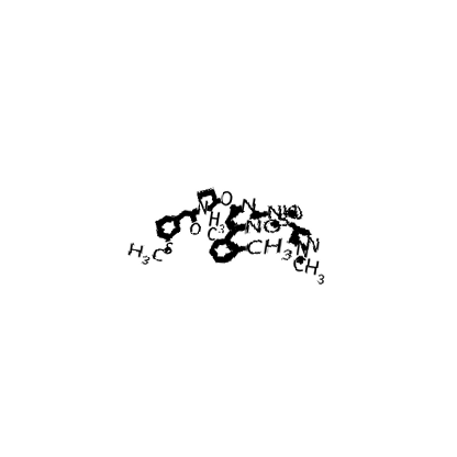 CSc1cccc(CC(=O)N2CCC(Oc3cc(-c4c(C)cccc4C)nc(NS(=O)(=O)c4cnn(C)c4)n3)C2)c1